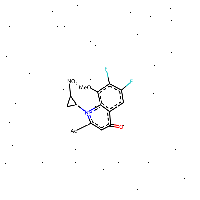 COc1c(F)c(F)cc2c(=O)cc(C(C)=O)n(C3CC3[N+](=O)[O-])c12